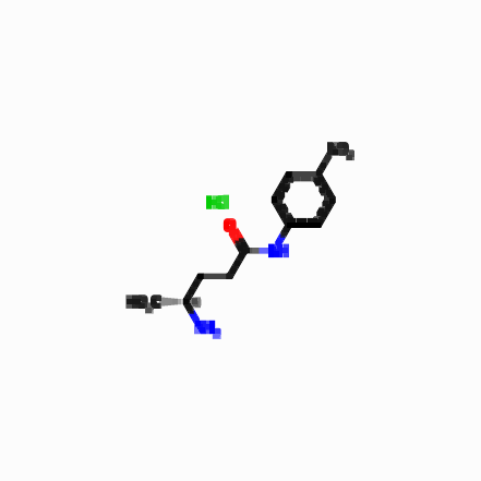 Cl.N[C@@H](CCC(=O)Nc1ccc([N+](=O)[O-])cc1)C(=O)O